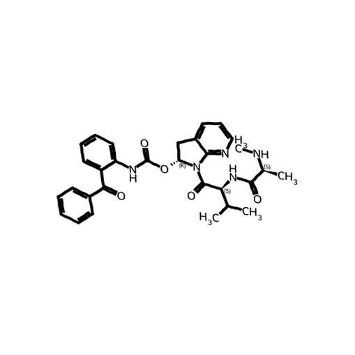 CN[C@@H](C)C(=O)N[C@H](C(=O)N1c2ncccc2C[C@H]1OC(=O)Nc1ccccc1C(=O)c1ccccc1)C(C)C